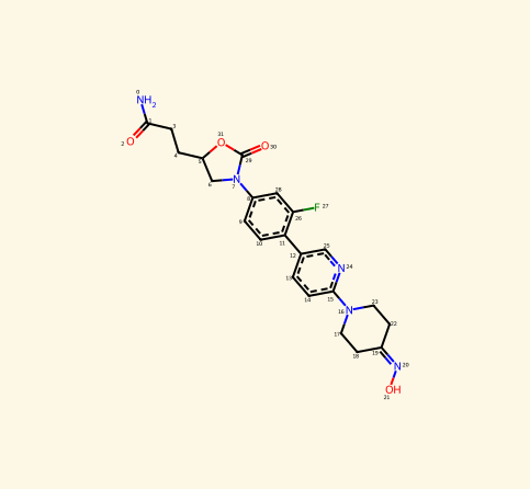 NC(=O)CCC1CN(c2ccc(-c3ccc(N4CCC(=NO)CC4)nc3)c(F)c2)C(=O)O1